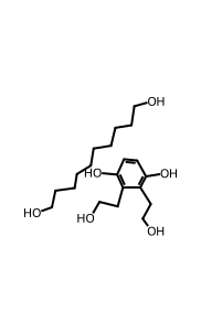 OCCCCCCCCCCO.OCCc1c(O)ccc(O)c1CCO